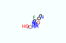 COc1nc(N[C@H]2CC[C@@](C)(O)CC2)nn2cc(F)c(-c3ccc4ncccc4c3)c12